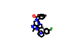 COC(=O)N1CCc2c(nc(C)n2C2CC3CCC(C2)N3C[C@H]2CN(Cc3ccccc3)C[C@@H]2c2cccc(F)c2)C1